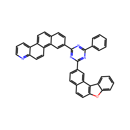 c1ccc(-c2nc(-c3ccc4ccc5c6cccnc6ccc5c4c3)nc(-c3ccc4ccc5oc6ccccc6c5c4c3)n2)cc1